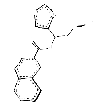 O=COCC(NC(=O)c1ccc2ccccc2c1)c1cscn1